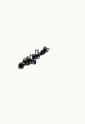 CO/N=C(\C(=O)NC1C(=O)N2C(C(=O)O)=C(CSc3nnnn3C)CS[C@H]12)c1csc(NC(=O)OCc2ccc([N+](=O)[O-])cc2)n1